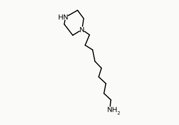 NCCCCCCCCCN1CCNCC1